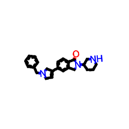 O=C1c2ccc(C3=CCN(Cc4ccccc4)C3)cc2CN1C1CCCNC1